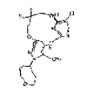 Cc1c2c(nn1C1CCOCC1)OCC(F)(F)CNc1nc(ncc1Cl)N2